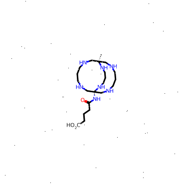 C[C@]12CNCCCNC[C@](NC(=O)CCCC(=O)O)(CNCCCNC1)NCCCN2